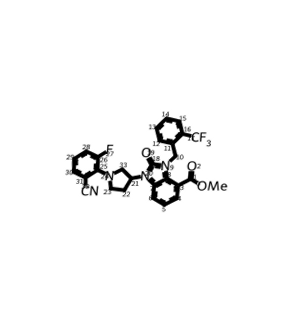 COC(=O)c1cccc2c1n(Cc1ccccc1C(F)(F)F)c(=O)n2C1CCN(c2c(F)cccc2C#N)C1